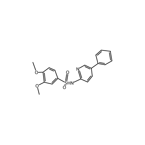 COc1ccc(S(=O)(=O)Nc2ccc(-c3ccccc3)cn2)cc1OC